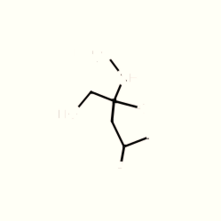 CC(CO)(CC(F)F)NC(=O)O